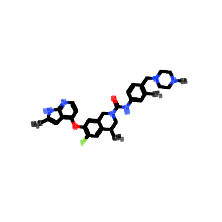 CCN1CCN(Cc2ccc(NC(=O)N3Cc4cc(Oc5ccnc6[nH]c(C)cc56)c(F)cc4C(C)C3)cc2C(F)(F)F)CC1